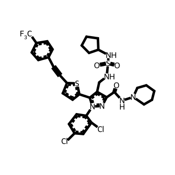 O=C(NN1CCCCC1)c1nn(-c2ccc(Cl)cc2Cl)c(-c2ccc(C#Cc3ccc(C(F)(F)F)cc3)s2)c1CNS(=O)(=O)NC1CCCC1